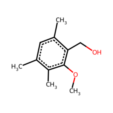 COc1c(C)c(C)cc(C)c1CO